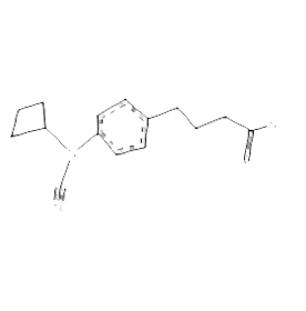 N#CN(c1ccc(CCCC(N)=O)cc1)C1CCC1